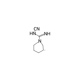 N#CNC(=N)N1C[CH]CCC1